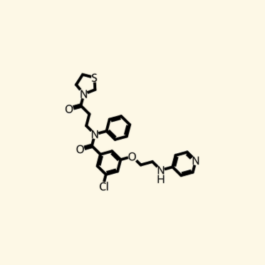 O=C(CCN(C(=O)c1cc(Cl)cc(OCCNc2ccncc2)c1)c1ccccc1)N1CCSC1